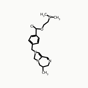 CC1CN=CC2=CN(Cc3ccc(C(Cl)OCCN(C)C)cc3)CN2C1